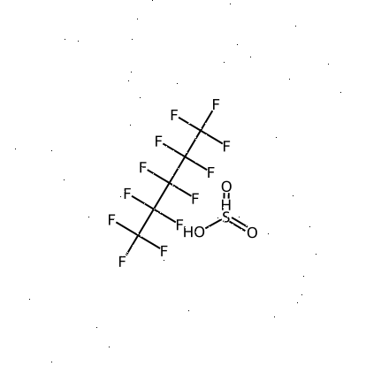 FC(F)(F)C(F)(F)C(F)(F)C(F)(F)C(F)(F)F.O=[SH](=O)O